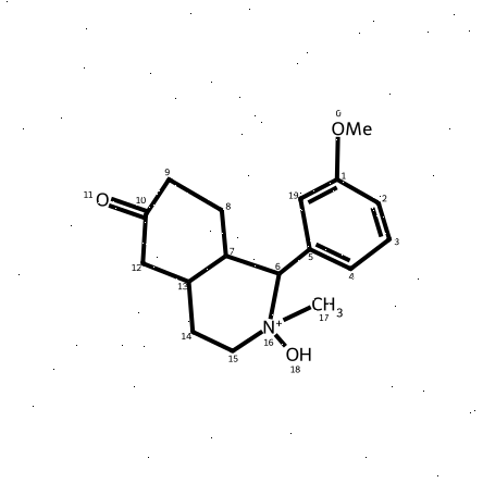 COc1cccc(C2C3CCC(=O)CC3CC[N+]2(C)O)c1